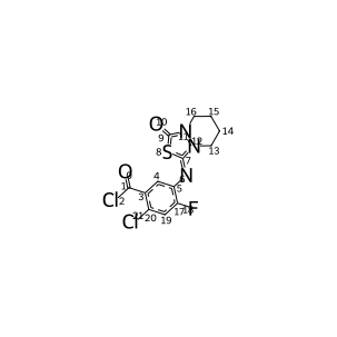 O=C(Cl)c1cc(N=c2sc(=O)n3n2CCCC3)c(F)cc1Cl